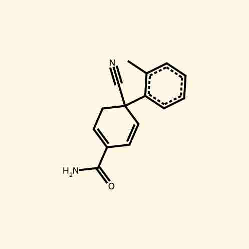 Cc1ccccc1C1(C#N)C=CC(C(N)=O)=CC1